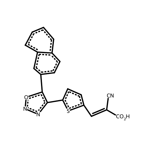 N#C/C(=C\c1ccc(-c2nnoc2-c2ccc3ccccc3c2)s1)C(=O)O